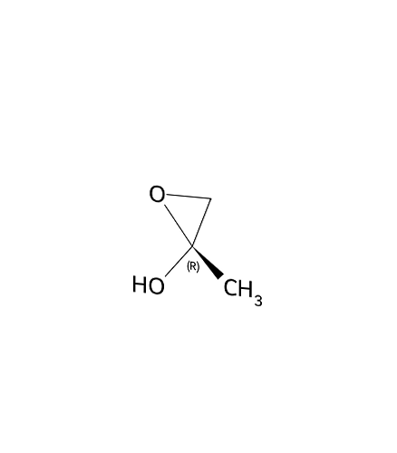 C[C@]1(O)CO1